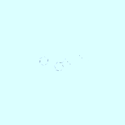 Cc1cc(C)cc(COC[C@@]2(c3ccccc3)CC[C@H](N)CN2)c1